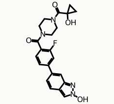 O=C(c1ccc(-c2ccc3cn(O)nc3c2)cc1F)N1CCN(C(=O)C2(O)CC2)CC1